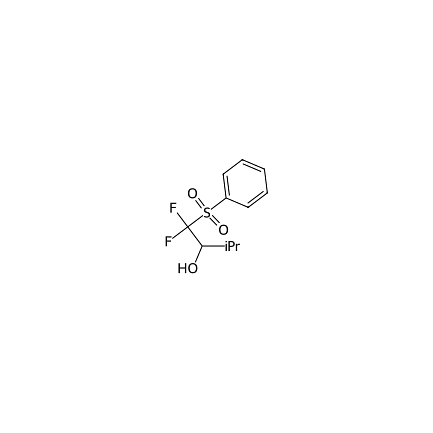 CC(C)C(O)C(F)(F)S(=O)(=O)c1ccccc1